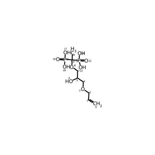 C=CCOCC(O)COC(C)(P(=O)(O)O)P(=O)(O)O